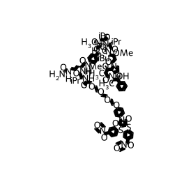 CCC(C)[C@@H]([C@@H](CC(=O)N1CCC[C@H]1[C@H](OC)[C@@H](C)C(=O)N[C@H](C)[C@@H](O)c1ccccc1)OC)N(C)C(=O)[C@@H](NC(=O)[C@H](C(C)C)N(C)C(=O)OCc1ccc(NC(=O)[C@H](CCCNC(N)=O)NC(=O)[C@@H](NC(=O)COCCOCCOCCOc2ccc(N3C(=O)C(Sc4ccc(C(=O)N5CCOCC5)cc4)=C(Sc4ccc(C(=O)N5CCOCC5)cc4)C3=O)cc2)C(C)C)cc1)C(C)C